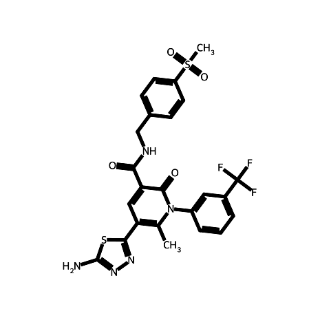 Cc1c(-c2nnc(N)s2)cc(C(=O)NCc2ccc(S(C)(=O)=O)cc2)c(=O)n1-c1cccc(C(F)(F)F)c1